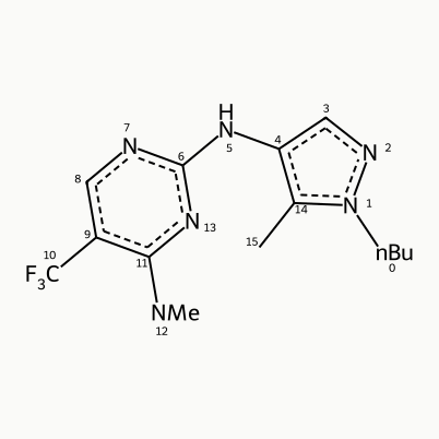 CCCCn1ncc(Nc2ncc(C(F)(F)F)c(NC)n2)c1C